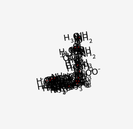 CC(C)=O.CC(C)=O.CC(C)=O.CC(C)=O.CC(C)=O.CC(COC(=O)CN(C)C(=N)N)OC(=O)[C@H](C)N.CN(CC(=O)OC(CC(=O)[O-])C[N+](C)(C)C)C(=N)N.CN(CC(=O)OCC(COC(=O)CN(C)C(=N)N)OC(=O)CN(C)C(=N)N)C(=N)N.C[C@@H](O)[C@H](N)C(=O)OC(CC(=O)[O-])C[N+](C)(C)C.C[N+](C)(C)CC(O)CC(=O)[O-].C[N+](C)(C)CC(O)CC(=O)[O-].C[N+](C)(C)CC(O)CC(=O)[O-].OCCO